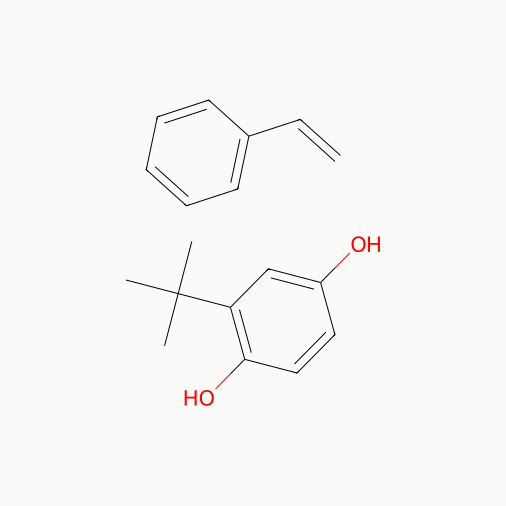 C=Cc1ccccc1.CC(C)(C)c1cc(O)ccc1O